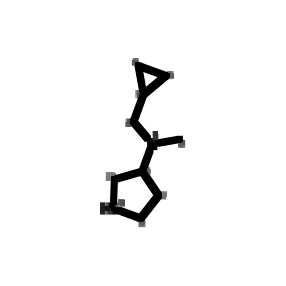 CN(CC1CC1)C1CCNC1